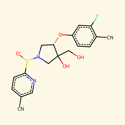 N#Cc1ccc([S+]([O-])N2C[C@H](Oc3ccc(C#N)c(F)c3)C(O)(CO)C2)nc1